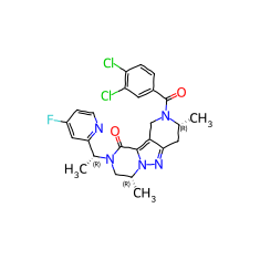 C[C@@H]1Cc2nn3c(c2CN1C(=O)c1ccc(Cl)c(Cl)c1)C(=O)N([C@H](C)c1cc(F)ccn1)C[C@H]3C